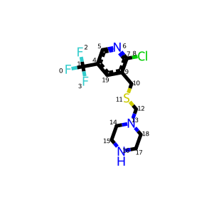 FC(F)(F)c1cnc(Cl)c(CSCN2CCNCC2)c1